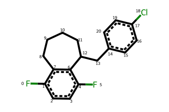 Fc1ccc(F)c2c1CCCCC2Cc1ccc(Cl)cc1